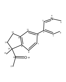 C/C=C(\C=N/C)c1ccc2c(c1)CCC2(C)C(C)=O